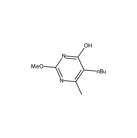 CCCCc1c(C)nc(OC)nc1O